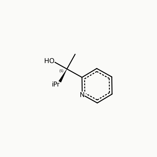 CC(C)[C@](C)(O)c1ccccn1